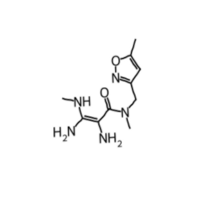 CN/C(N)=C(/N)C(=O)N(C)Cc1cc(C)on1